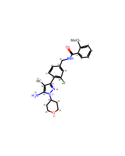 COc1ccccc1C(=O)NCc1ccc(-c2nn(C3CCOCC3)c(N)c2C#N)c(F)c1